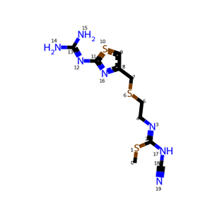 CS/C(=N\CCSCc1csc(N=C(N)N)n1)NC#N